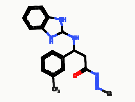 CCN=NC(=O)CC(NC1Nc2ccccc2N1)c1cccc(C(F)(F)F)c1